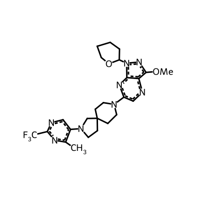 COc1nn(C2CCCCO2)c2nc(N3CCC4(CC3)CCN(c3cnc(C(F)(F)F)nc3C)C4)cnc12